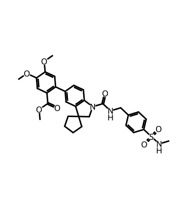 CNS(=O)(=O)c1ccc(CNC(=O)N2CC3(CCCC3)c3cc(-c4cc(OC)c(OC)cc4C(=O)OC)ccc32)cc1